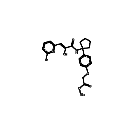 CC(C)(C)OC(=O)COc1ccc(C2(NC(=O)/C(C#N)=C/c3cccc(Br)n3)CCCC2)cc1